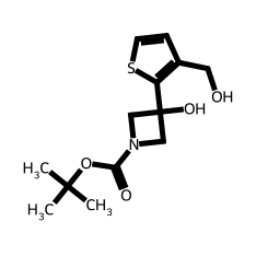 CC(C)(C)OC(=O)N1CC(O)(c2sccc2CO)C1